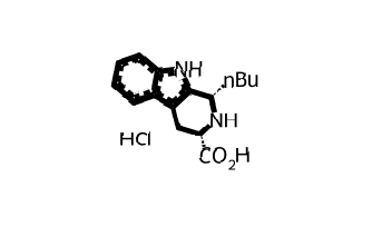 CCCC[C@@H]1N[C@H](C(=O)O)Cc2c1[nH]c1ccccc21.Cl